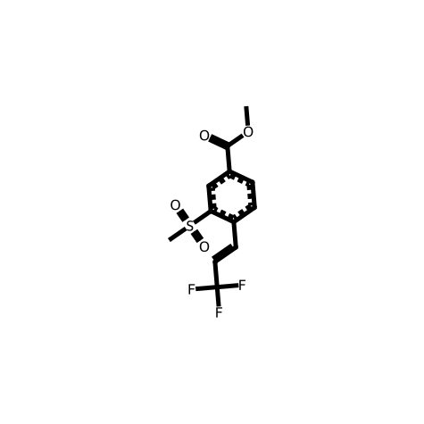 COC(=O)c1ccc(C=CC(F)(F)F)c(S(C)(=O)=O)c1